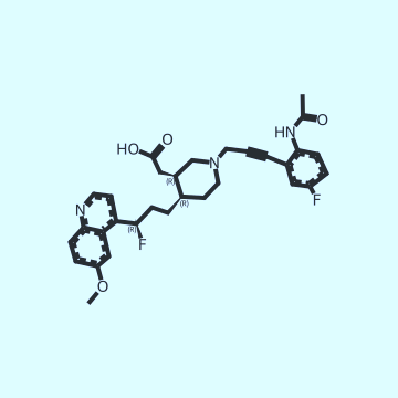 COc1ccc2nccc([C@H](F)CC[C@@H]3CCN(CC#Cc4cc(F)ccc4NC(C)=O)C[C@@H]3CC(=O)O)c2c1